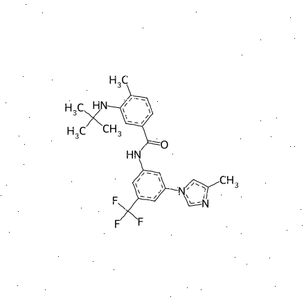 Cc1cn(-c2cc(NC(=O)c3ccc(C)c(NC(C)(C)C)c3)cc(C(F)(F)F)c2)cn1